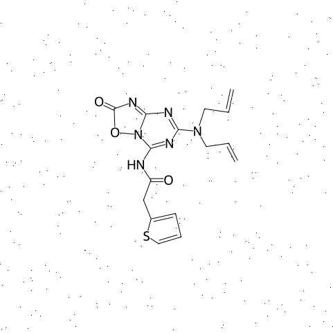 C=CCN(CC=C)c1nc(NC(=O)Cc2cccs2)n2oc(=O)nc2n1